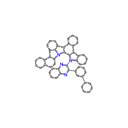 c1ccc(-c2cccc(-c3nc4ccccc4nc3-n3c4ccccc4c4c5ccccc5c5c6cccc7c8c9ccccc9ccc8n(c76)c5c43)c2)cc1